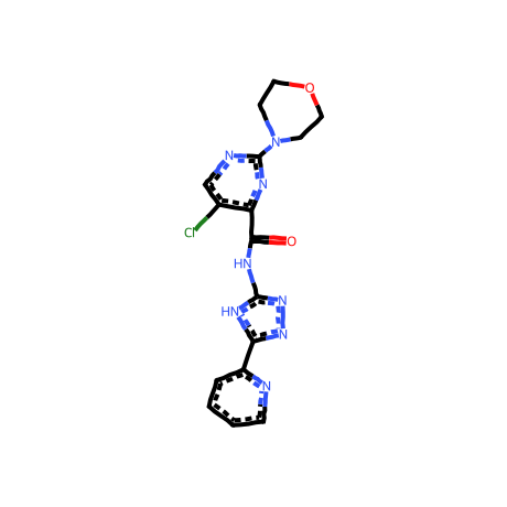 O=C(Nc1nnc(-c2ccccn2)[nH]1)c1nc(N2CCOCC2)ncc1Cl